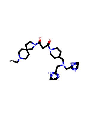 CC(C)CN1CCC2(CC1)CCN(C(=O)CC(=O)N1CCC(CN(Cc3ncc[nH]3)Cc3ncc[nH]3)CC1)C2